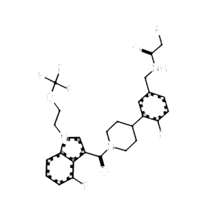 O=C(CF)NCc1ccc(F)c(C2CCN(C(=O)c3cn(CCOC(F)(F)F)c4cccc(F)c34)CC2)c1